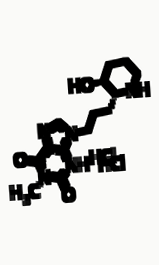 Cl.Cl.Cn1c(=O)[nH]c2c(ncn2CCC[C@H]2NCCC[C@@H]2O)c1=O